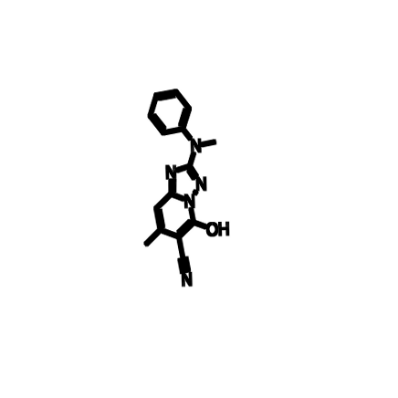 Cc1cc2nc(N(C)c3ccccc3)nn2c(O)c1C#N